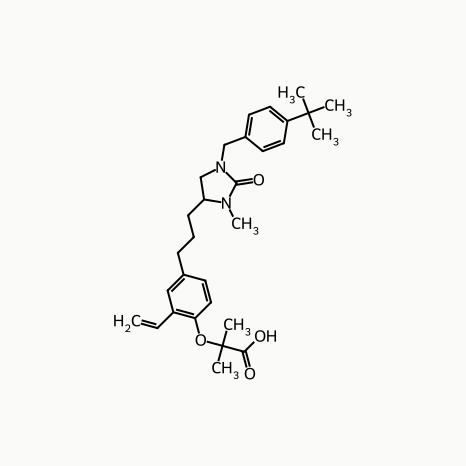 C=Cc1cc(CCCC2CN(Cc3ccc(C(C)(C)C)cc3)C(=O)N2C)ccc1OC(C)(C)C(=O)O